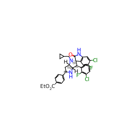 CCOC(=O)c1ccc([C@H]2C[C@H]3[C@@H](N2)[C@H](c2cccc(Cl)c2F)[C@]2(C(=O)Nc4cc(Cl)c(F)cc42)N3CC2CC2)cc1